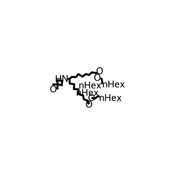 CCCCCCC(CCCCCC)COC(=O)CCCCCCCC(CCCCCCCC(=O)OCC(CCCCCC)CCCCCC)NC1CC2(COC2)C1